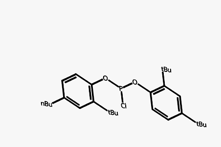 CCCCc1ccc(OP(Cl)Oc2ccc(C(C)(C)C)cc2C(C)(C)C)c(C(C)(C)C)c1